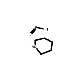 C1CCNCC1.O=PO